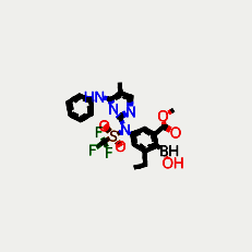 CCc1cc(N(c2ncc(C)c(Nc3ccccc3)n2)S(=O)(=O)C(F)(F)F)cc(C(=O)OC)c1BO